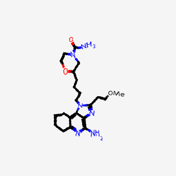 COCCc1nc2c(N)nc3c(c2n1CCCCC1CN(C(N)=O)CCO1)CCCC3